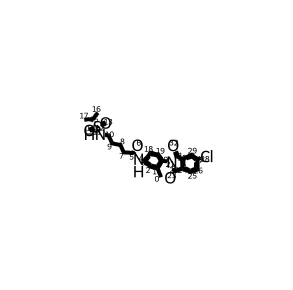 Cc1cc(NC(=O)CCCCNS(=O)(=O)C(C)C)ccc1N1C(=O)c2ccc(Cl)cc2C1=O